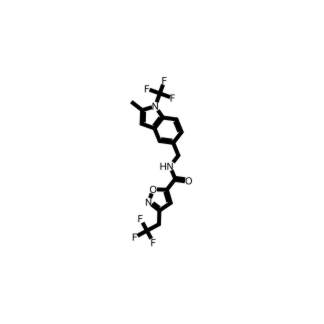 Cc1cc2cc(CNC(=O)c3cc(CC(F)(F)F)no3)ccc2n1C(F)(F)F